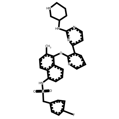 Cc1ccc2c(NS(=O)(=O)Cc3ccc(F)cc3)cccc2c1Oc1ncccc1-c1ccnc(NC2CCCNC2)n1